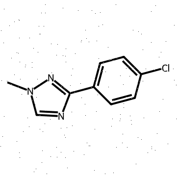 Cn1cnc(-c2ccc(Cl)cc2)n1